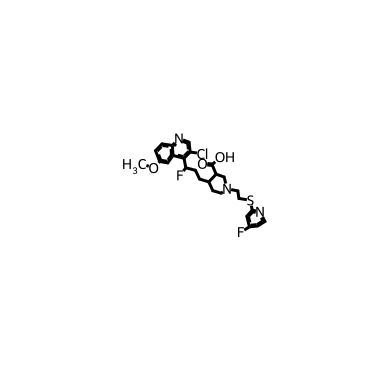 COc1ccc2ncc(Cl)c(C(F)CCC3CCN(CCSc4cc(F)ccn4)CC3C(=O)O)c2c1